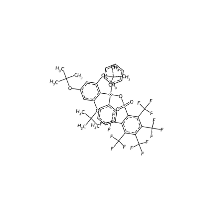 CC(C)(C)Oc1cc(OC(C)(C)C)c(S(OS(=O)(=O)c2c(C(F)(F)F)c(C(F)(F)F)c(C(F)(F)F)c(C(F)(F)F)c2C(F)(F)F)(c2ccccc2)c2ccccc2)c(OC(C)(C)C)c1